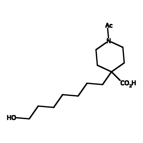 CC(=O)N1CCC(CCCCCCCO)(C(=O)O)CC1